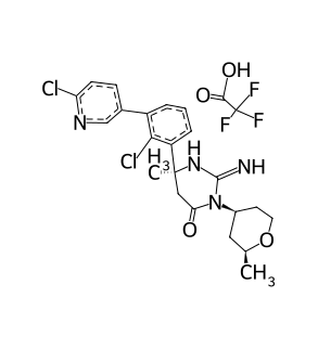 C[C@H]1C[C@@H](N2C(=N)N[C@](C)(c3cccc(-c4ccc(Cl)nc4)c3Cl)CC2=O)CCO1.O=C(O)C(F)(F)F